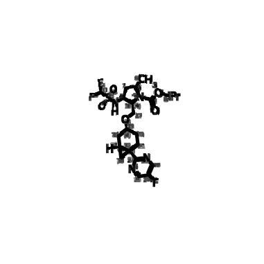 CC(C)OC(=O)N1[C@H](C)C[C@H](NS(=O)(=O)C(F)F)[C@@H]1CO[C@@H]1CC[C@]2(c3ncc(F)cn3)C[C@@H]2C1